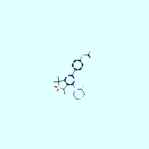 CC[C@H]1COCCN1c1nc(-c2ccc(NC(=O)NC)cc2)nc2c1C(C)S(=O)(=O)C2(C)C